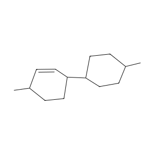 CC1C=CC(C2CCC(C)CC2)CC1